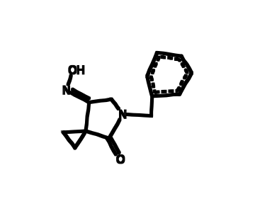 O=C1N(Cc2ccccc2)CC(=NO)C12CC2